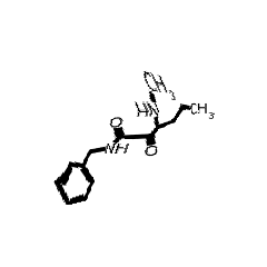 CCCC(NC)C(=O)C(=O)NCc1ccccc1